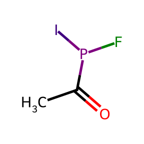 CC(=O)P(F)I